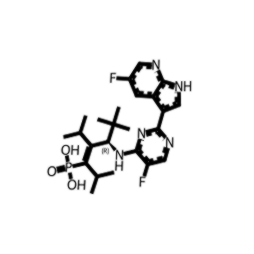 CC(C)C(=C(C(C)C)P(=O)(O)O)[C@H](Nc1nc(-c2c[nH]c3ncc(F)cc23)ncc1F)C(C)(C)C